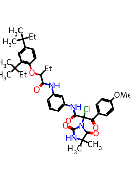 CCC(Oc1ccc(C(C)(C)CC)cc1C(C)(C)CC)C(=O)Nc1cccc(NC(=O)C(Cl)(C(=O)c2ccc(OC)cc2)N2C(=O)NC(C)(C)C2=O)c1